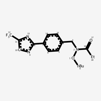 CCCCON(Cc1ccc(-c2noc(C(F)(F)F)n2)cc1)C(=O)CC